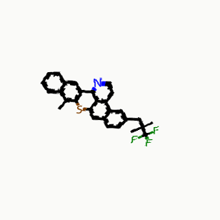 Cc1c2c(cc3ccccc13)-c1nccc3c1c(cc1ccc(CC(C)(C)C(F)(F)F)cc13)S2